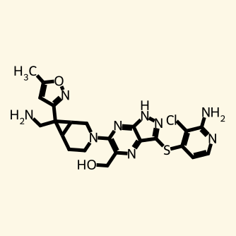 Cc1cc(C2(CN)C3CCN(c4nc5[nH]nc(Sc6ccnc(N)c6Cl)c5nc4CO)CC32)no1